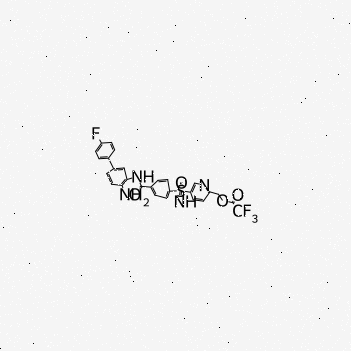 N=S(=O)(c1ccc(C(=O)Nc2cc(-c3ccc(F)cc3)ccc2N)cc1)c1ccc(COC(=O)C(F)(F)F)nc1